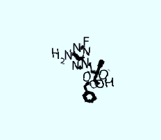 C#CC(CO)(OC)[C@H](Cn1cnc2c(N)nc(F)nc21)OC(=O)Cc1ccccc1